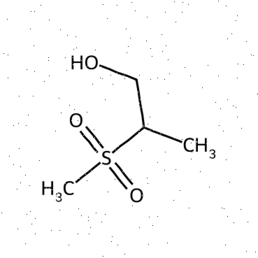 CC(CO)S(C)(=O)=O